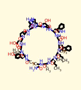 CCCC[C@H]1C(=O)N(C)[C@@H](CCCC)C(=O)N[C@@H](C)C(=O)N[C@H](C(N)=O)CSCC(=O)N[C@@H](Cc2ccc(O)cc2)C(=O)N(C)[C@@H](C)C(=O)N[C@@H](CC(=O)O)C(=O)N2CCC[C@H]2C(=O)N[C@@H](Cc2cnc[nH]2)C(=O)N[C@@H](CCCN)C(=O)N2C[C@H](O)C[C@H]2C(=O)N[C@@H](Cc2c[nH]c3ccccc23)C(=O)N[C@@H](CO)C(=O)N[C@@H](Cc2csc3ccccc23)C(=O)N1C